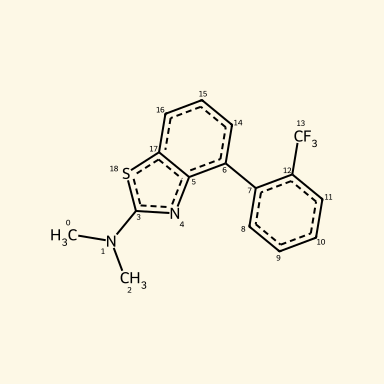 CN(C)c1nc2c(-c3ccccc3C(F)(F)F)cccc2s1